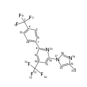 FC(F)(F)c1ccc(-c2cc(C(F)(F)F)cc(-n3cnc(I)c3)n2)cc1